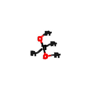 CC(C)[O][Ti]([O]C(C)C)([CH](C)C)[CH](C)C